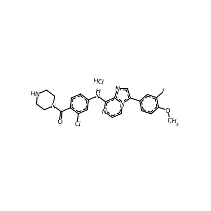 COc1ccc(-c2cnc3c(Nc4ccc(C(=O)N5CCNCC5)c(Cl)c4)nccn23)cc1F.Cl